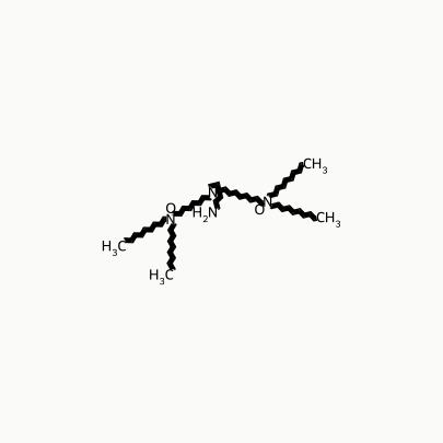 CCCCCCCCCCN(CCCCCCCCCC)C(=O)CCCCCCCN1CCC1(CCCN)CCCCCCCC(=O)N(CCCCCCCCCC)CCCCCCCCCC